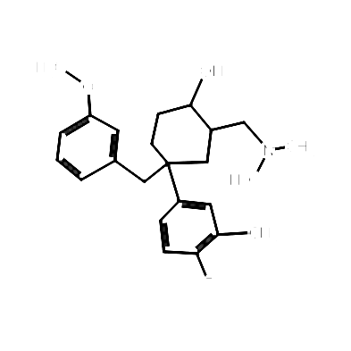 COc1cccc(CC2(c3ccc(F)c(C)c3)CCC(O)C(CN(C)C)C2)c1